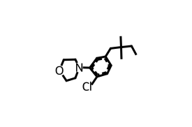 CCC(C)(C)Cc1ccc(Cl)c(N2CCOCC2)c1